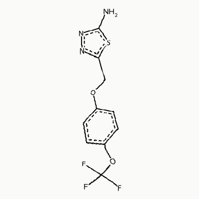 Nc1nnc(COc2ccc(OC(F)(F)F)cc2)s1